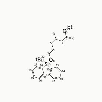 C=C(CC(C)CCCO[Si](c1ccccc1)(c1ccccc1)C(C)(C)C)OCC